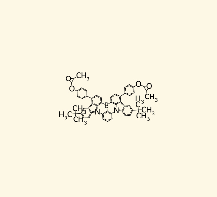 CC1OC1Oc1ccc(-c2ccc3c4c2c2cc(C(C)(C)C)ccc2n4-c2cccc4c2B3c2ccc(-c3ccc(OC5OC5C)cc3)c3c5cc(C(C)(C)C)ccc5n-4c23)cc1